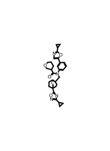 O=C(C1CCCOC1)N(CC1CCC2(c3nc(C4CC4)no3)CCC1CC2)c1cccc(-c2cnc(C3CC3)o2)c1